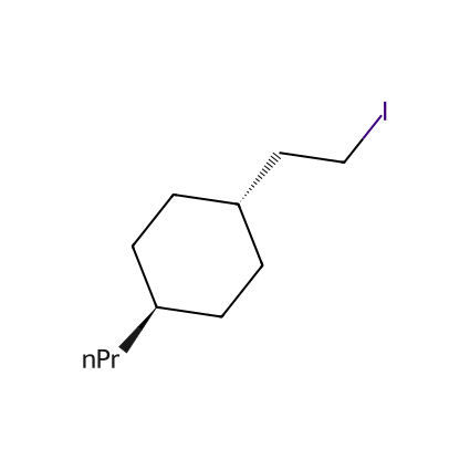 CCC[C@H]1CC[C@H](CCI)CC1